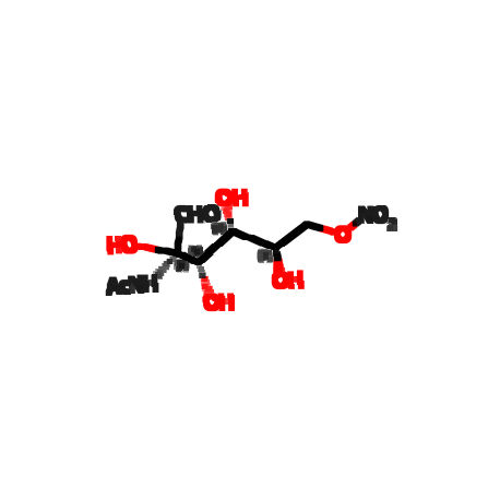 CC(=O)N[C@](O)(C=O)[C@@H](O)[C@H](O)[C@H](O)CO[N+](=O)[O-]